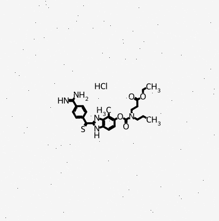 CCCN(CCC(=O)OCC)C(=O)Oc1ccc2[nH]c(C(=S)c3ccc(C(=N)N)cc3)nc2c1C.Cl